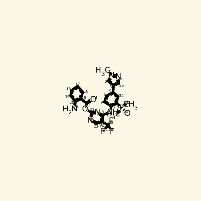 Cn1cc(-c2ccc(Nc3nc(OC(=O)c4ccccc4N)ncc3C(F)(F)F)c(P(C)(C)=O)c2)cn1